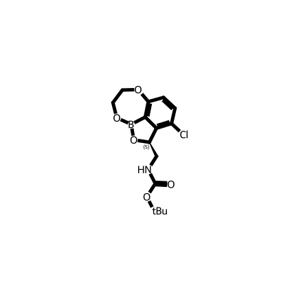 CC(C)(C)OC(=O)NC[C@H]1OB2OCCOc3ccc(Cl)c1c32